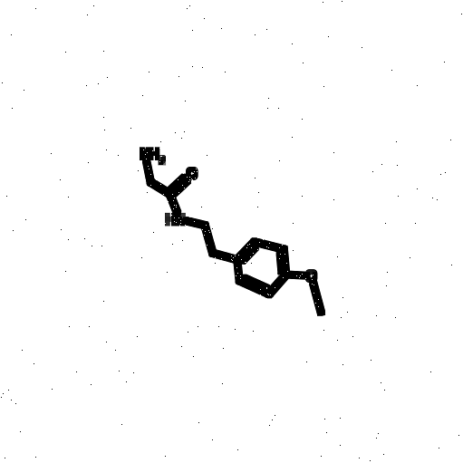 COc1ccc(CCNC(=O)CN)cc1